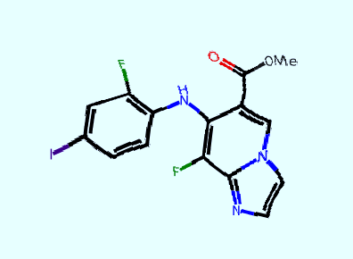 COC(=O)c1cn2ccnc2c(F)c1Nc1ccc(I)cc1F